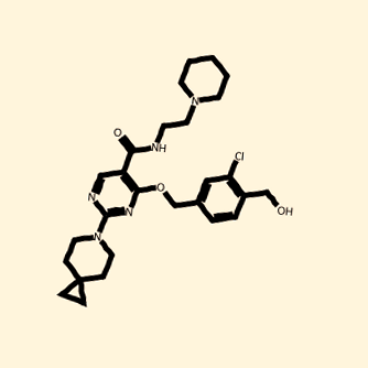 O=C(NCCN1CCCCC1)c1cnc(N2CCC3(CC2)CC3)nc1OCc1ccc(CO)c(Cl)c1